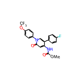 COC(=O)Nc1cc(=O)n(-c2ccc(OC(F)(F)F)cc2)cc1-c1ccc(F)cc1